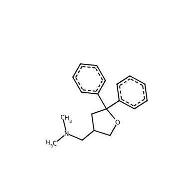 CN(C)CC1COC(c2ccccc2)(c2ccccc2)C1